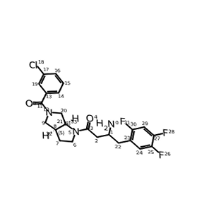 NC(CC(=O)N1CC[C@H]2CN(C(=O)c3cccc(Cl)c3)C[C@H]21)Cc1cc(F)c(F)cc1F